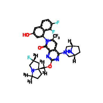 [2H]C1([2H])CC[C@@]2(C([2H])([2H])Oc3nc(N4C[C@H]5CC[C@@H](C4)N5)c4cc(C(F)(F)F)n(-c5cc(O)cc6ccc(F)c(F)c56)c(=O)c4n3)C[C@@]([2H])(F)CN12